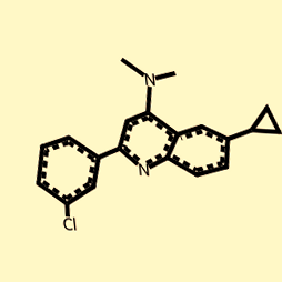 CN(C)c1cc(-c2cccc(Cl)c2)nc2ccc(C3CC3)cc12